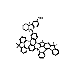 CC(C)(C)c1ccc2c(c1)C1(C)CCCCC1(C)N2c1ccc2c(c1)N(c1cccc3c1-c1ccccc1C3(C)C)c1cccc3c1B2c1sc2cc4c(c5c2c1N3c1ccccc1-5)-c1ccccc1C4(C)C